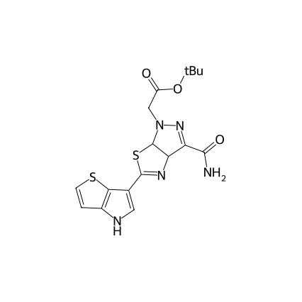 CC(C)(C)OC(=O)CN1N=C(C(N)=O)C2N=C(c3c[nH]c4ccsc34)SC21